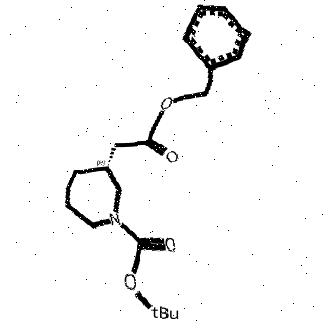 CC(C)(C)OC(=O)N1CCC[C@H](CC(=O)OCc2ccccc2)C1